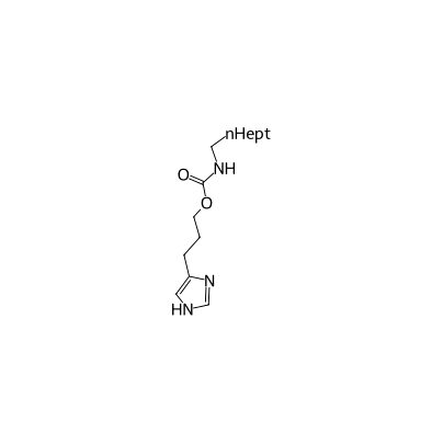 CCCCCCCCNC(=O)OCCCc1c[nH]cn1